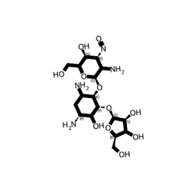 NC1[C@@H](O[C@@H]2C(N)C[C@@H](N)C(O)[C@H]2O[C@@H]2O[C@H](CO)C(O)[C@@H]2O)OC(CO)[C@@H](O)[C@@H]1N=O